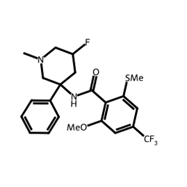 COc1cc(C(F)(F)F)cc(SC)c1C(=O)NC1(c2ccccc2)CC(F)CN(C)C1